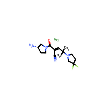 CC(C)(C=C(C#N)C(=O)N1CC[C@H](N)C1)N1CCC(F)(F)C1.Cl